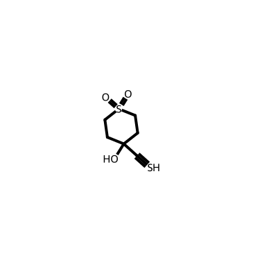 O=S1(=O)CCC(O)(C#[SH])CC1